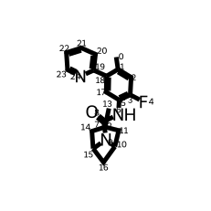 Cc1cc(F)c(NC(=O)N2C3CC(C)CC2C3)cc1-c1ccccn1